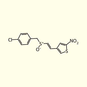 O=[N+]([O-])c1cc(C=C[S+]([O-])Cc2ccc(Cl)cc2)cs1